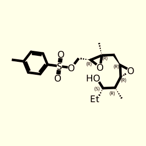 CC[C@H](O)[C@@H](C)[C@H]1O[C@@H]1C[C@@]1(C)O[C@@H]1COS(=O)(=O)c1ccc(C)cc1